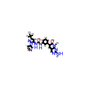 CNc1ncc2cc(-c3cccc(NC(=O)Nc4cc(C(C)(C)C)nn4-c4cnsc4)c3)c(=O)n(C)c2n1